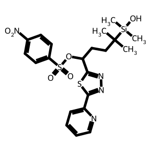 CC(C)(CCC(OS(=O)(=O)c1ccc([N+](=O)[O-])cc1)c1nnc(-c2ccccn2)s1)[Si](C)(C)O